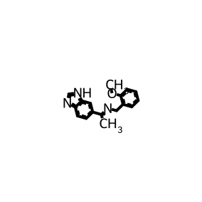 COc1ccccc1CN=C(C)c1ccc2nc[nH]c2c1